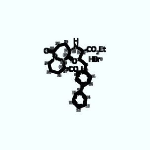 Br.CCOC(=O)[C@H](CCc1ccc(-c2ccccc2)cc1)N[C@H]1CCC(=O)N2CCC[C@@H](C(=O)O)N2C1=O